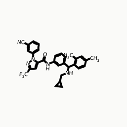 Cc1ccc(C(NCC2CC2)c2cccc(NC(=O)c3cc(C(F)(F)F)nn3-c3cccc(C#N)c3)c2)c(C)c1